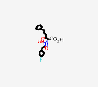 O=C(O)C(NN(O)C(=O)Cc1ccc(F)cc1)C(=O)CCCc1ccccc1